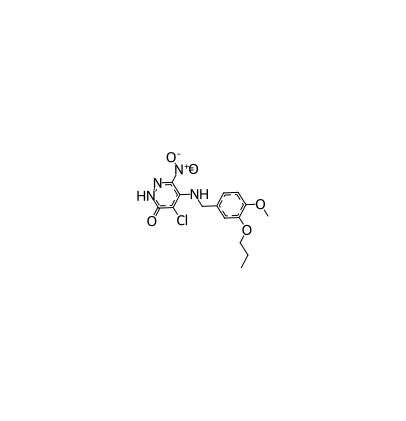 CCCOc1cc(CNc2c([N+](=O)[O-])n[nH]c(=O)c2Cl)ccc1OC